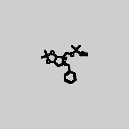 CC1(C)OC2CN(Cc3ccccc3)[C@H](CO[Si](C)(C)C(C)(C)C)C2O1